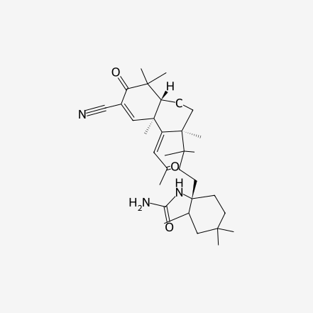 CC(=O)/C=C1/[C@@]2(C)C=C(C#N)C(=O)C(C)(C)[C@@H]2CC[C@@]1(C)C(C)(C)CC[C@@]1(NC(N)=O)CCC(C)(C)CC1C